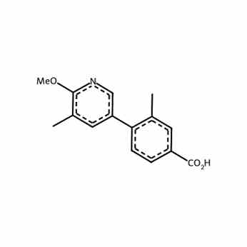 COc1ncc(-c2ccc(C(=O)O)cc2C)cc1C